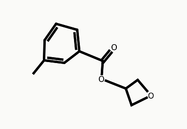 Cc1cccc(C(=O)OC2COC2)c1